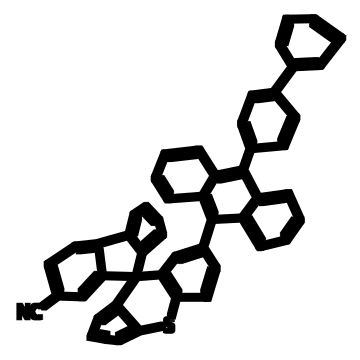 N#Cc1ccc2c(c1)C1(c3ccccc3Sc3ccc(-c4c5ccccc5c(-c5ccc(-c6ccccc6)cc5)c5ccccc45)cc31)c1ccccc1-2